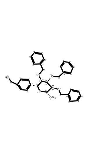 CO[C@@H]1O[C@H](c2ccc(CO)cc2)[C@@H](OCc2ccccc2)[C@H](OCc2ccccc2)[C@H]1OCc1ccccc1